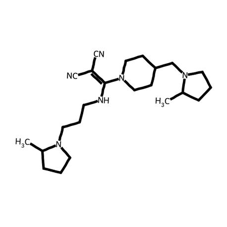 CC1CCCN1CCCNC(=C(C#N)C#N)N1CCC(CN2CCCC2C)CC1